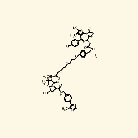 Cc1ncoc1-c1ccc(CNC(=O)[C@@H]2C[C@@H](O)CN2C(=O)[C@@H](NC(=O)COCCOCCCOc2ccc([C@@H](C)NC(=O)C[C@@H]3N=C(c4ccc(Cl)cc4)c4c(sc(C)c4C)-n4c(C)nnc43)cc2)C(C)(C)C)cc1